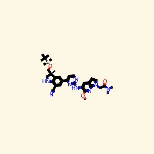 COc1nc2c(ccn2CC(=O)N(C)C)cc1Nc1nccc(-c2cc(C#N)c3c(c2)[C@@](C)(CO[Si](C)(C)C(C)(C)C)CN3)n1